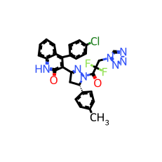 Cc1ccc([C@@H]2CC(c3c(-c4ccc(Cl)cc4)c4ccccc4[nH]c3=O)=NN2C(=O)C(F)(F)Cn2cnnn2)cc1